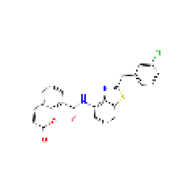 O=C(Nc1cccc2sc(Cc3cccc(Cl)c3)nc12)c1cccc2ccc(=O)oc12